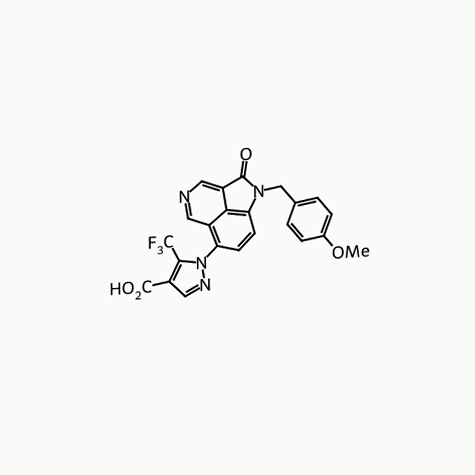 COc1ccc(CN2C(=O)c3cncc4c(-n5ncc(C(=O)O)c5C(F)(F)F)ccc2c34)cc1